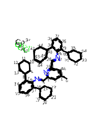 Cc1cc(C=Nc2c(C3CCCCC3)cccc2C2CCCCC2)nc(C=Nc2c(C3CCCCC3)cccc2C2CCCCC2)c1.[Cl-].[Cl-].[Cl-].[Co+3]